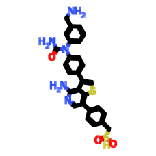 NCc1cccc(N(C(N)=O)c2ccc(-c3csc4c(-c5ccc(C[SH](=O)=O)cc5)cnc(N)c34)cc2)c1